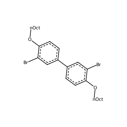 CCCCCCCCOc1ccc(-c2ccc(OCCCCCCCC)c(Br)c2)cc1Br